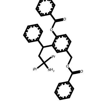 CC(C)C(N)(CC(c1ccccc1)c1cc(COC(=O)c2ccccc2)ccc1OC(=O)c1ccccc1)C(C)C